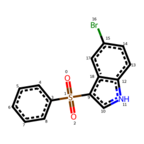 O=S(=O)(c1ccccc1)c1c[nH]c2ccc(Br)cc12